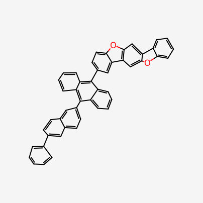 c1ccc(-c2ccc3cc(-c4c5ccccc5c(-c5ccc6oc7cc8c(cc7c6c5)oc5ccccc58)c5ccccc45)ccc3c2)cc1